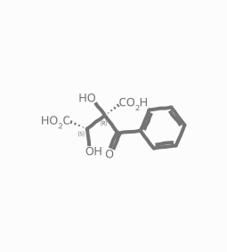 O=C(O)[C@@H](O)[C@](O)(C(=O)O)C(=O)c1ccccc1